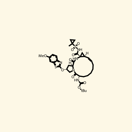 COc1ccc2nc(O[C@@H]3C[C@H]4C(=O)N[C@]5(C(=O)NS(=O)(=O)C6(C)CC6)C[C@H]5/C=C\CCCCC[C@H](NC(=O)OC(C)(C)C)C(=O)N4C3)sc2c1